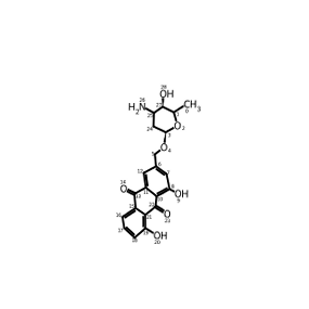 CC1O[C@@H](OCc2cc(O)c3c(c2)C(=O)c2cccc(O)c2C3=O)CC(N)[C@H]1O